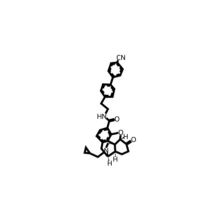 N#Cc1ccc(-c2ccc(CCNC(=O)c3ccc4c5c3O[C@H]3C(=O)CC[C@H]6[C@@H](C4)N(CC4CC4)CC[C@]536)cc2)cc1